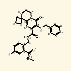 CNC(=O)c1cc(F)ccc1CNC(=O)c1nc2n(c(=O)c1OCc1ccccc1)CCOC21CCC1